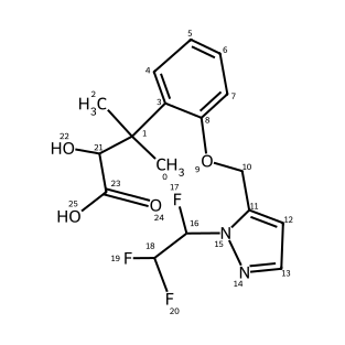 CC(C)(c1ccccc1OCc1ccnn1C(F)C(F)F)C(O)C(=O)O